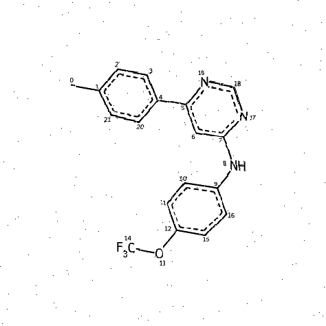 Cc1ccc(-c2cc(Nc3ccc(OC(F)(F)F)cc3)ncn2)cc1